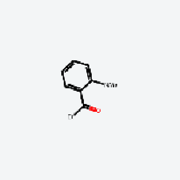 CCC(=O)c1ccccc1NC